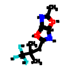 Cc1nc2oc(CC(C)(C)C(F)(F)F)nc2o1